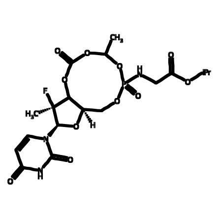 CC(C)OC(=O)CNP1(=O)OC[C@H]2O[C@@H](n3ccc(=O)[nH]c3=O)[C@@](C)(F)C2OC(=O)OC(C)O1